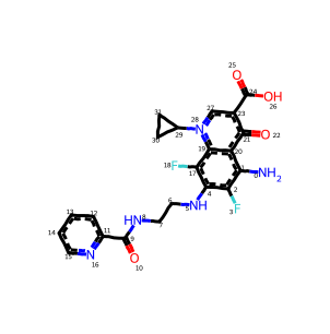 Nc1c(F)c(NCCNC(=O)c2ccccn2)c(F)c2c1c(=O)c(C(=O)O)cn2C1CC1